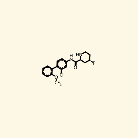 O=C(Nc1ccc(-c2ccccc2OC(F)(F)F)c(Cl)c1)C1C[C@H](F)CCN1